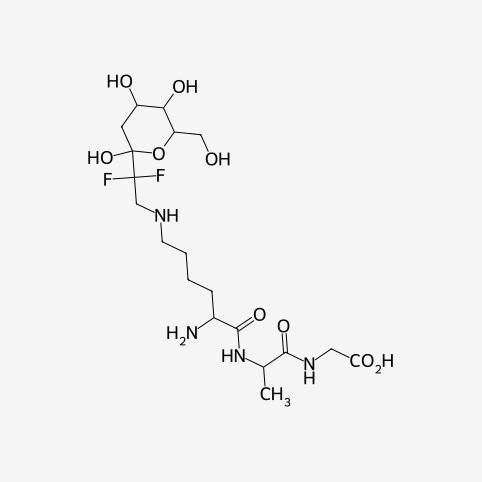 CC(NC(=O)C(N)CCCCNCC(F)(F)C1(O)CC(O)C(O)C(CO)O1)C(=O)NCC(=O)O